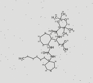 CCCCCCC1(NC(=O)NC2CCCCCC2C(CC(=O)O)NC(=O)C2OC(C)(C)OCC2(C)C)CCCCC1